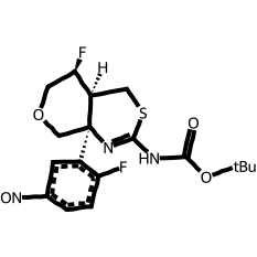 CC(C)(C)OC(=O)NC1=N[C@@]2(c3cc(N=O)ccc3F)COC[C@@H](F)[C@H]2CS1